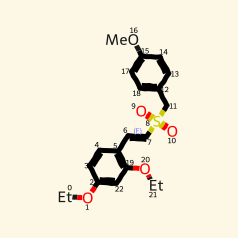 CCOc1ccc(/C=C/S(=O)(=O)Cc2ccc(OC)cc2)c(OCC)c1